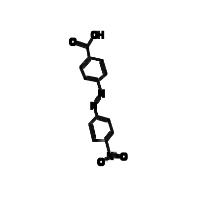 O=C(O)c1ccc(N=Nc2ccc([N+](=O)[O-])cc2)cc1